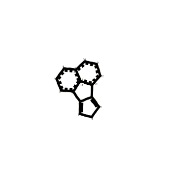 C1=C2C(=CC1)c1cccc3cccc2c13